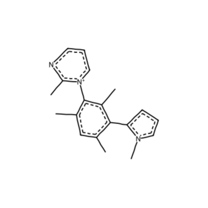 Cc1cc(C)c(-[n+]2cccnc2C)c(C)c1-c1cccn1C